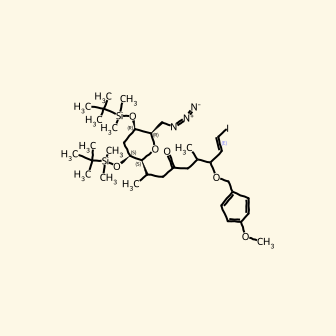 COc1ccc(COC(/C=C/I)C(C)CC(=O)CC(C)[C@@H]2O[C@H](CN=[N+]=[N-])[C@H](O[Si](C)(C)C(C)(C)C)C[C@@H]2O[Si](C)(C)C(C)(C)C)cc1